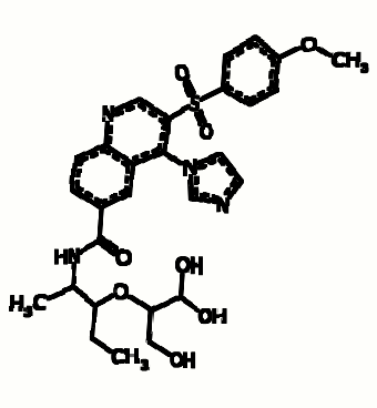 CCC(OC(CO)C(O)O)C(C)NC(=O)c1ccc2ncc(S(=O)(=O)c3ccc(OC)cc3)c(-n3ccnc3)c2c1